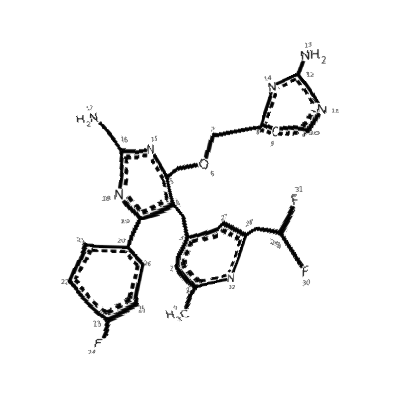 Cc1cc(-c2c(OCc3ccnc(N)n3)nc(N)nc2-c2ccc(F)cc2)cc(C(F)F)n1